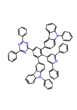 c1ccc(-c2cc(-c3c(-c4ccc5c(c4)c4ccccc4n5-c4ccccc4)cc(-c4nc(-c5ccccc5)nc(-c5ccccc5)n4)cc3-c3ccc4c(c3)c3ccccc3n4-c3ccccc3)cc(-c3ccccc3)n2)cc1